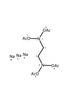 CC(=O)ON(CCN(OC(C)=O)OC(C)=O)OC(C)=O.[Na].[Na].[Na]